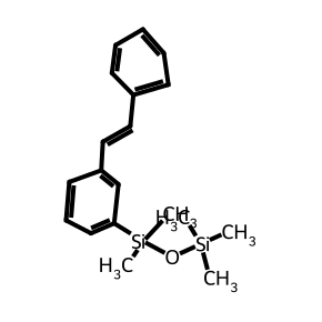 C[Si](C)(C)O[Si](C)(C)c1cccc(C=Cc2ccccc2)c1